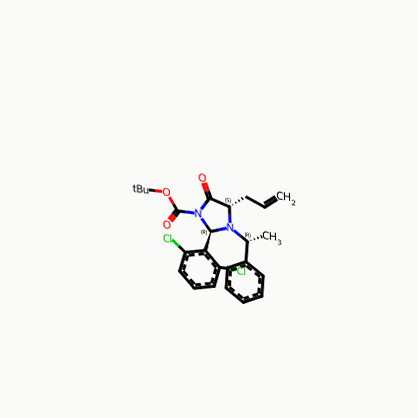 C=CC[C@H]1C(=O)N(C(=O)OC(C)(C)C)[C@H](c2c(Cl)cccc2Cl)N1[C@H](C)c1ccccc1